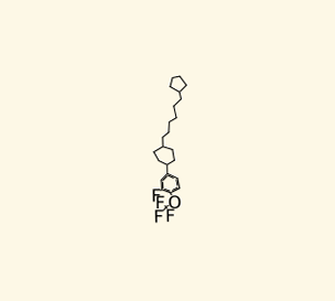 Fc1cc(C2CCC(CCCCCCC3CCCC3)CC2)ccc1OC(F)(F)F